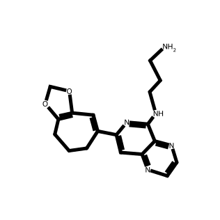 NCCCNc1nc(C2=CC3=C(CCC2)OCO3)cc2nccnc12